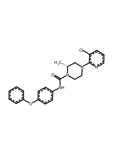 C[C@@H]1CN(c2ncccc2Cl)CCN1C(=O)Nc1ccc(Oc2ccccc2)cc1